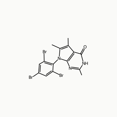 Cc1nc2c(c(C)c(C)n2-c2c(Br)cc(Br)cc2Br)c(=O)[nH]1